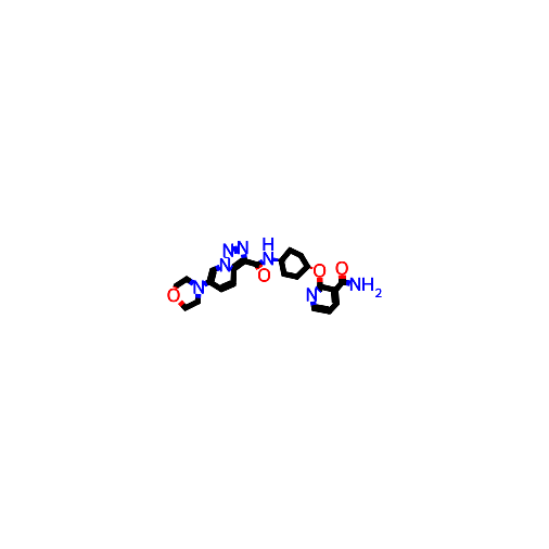 NC(=O)c1cccnc1O[C@H]1CC[C@H](NC(=O)c2nnn3cc(N4CCOCC4)ccc23)CC1